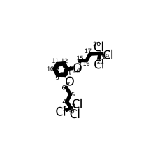 ClC(Cl)(Cl)CCCOc1c[c]ccc1OCCCC(Cl)(Cl)Cl